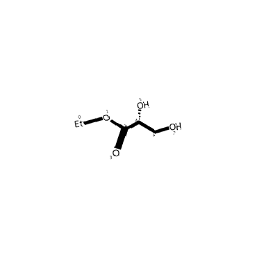 CCOC(=O)[C@H](O)CO